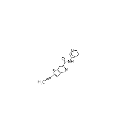 CC#Cc1cc2cnc(C(=O)NC3CN4CCC3C4)cc2s1